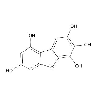 Oc1cc(O)c2c(c1)oc1c(O)c(O)c(O)cc12